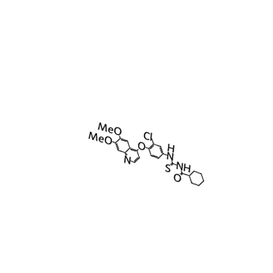 COc1cc2nccc(Oc3ccc(NC(=S)NC(=O)C4CCCCC4)cc3Cl)c2cc1OC